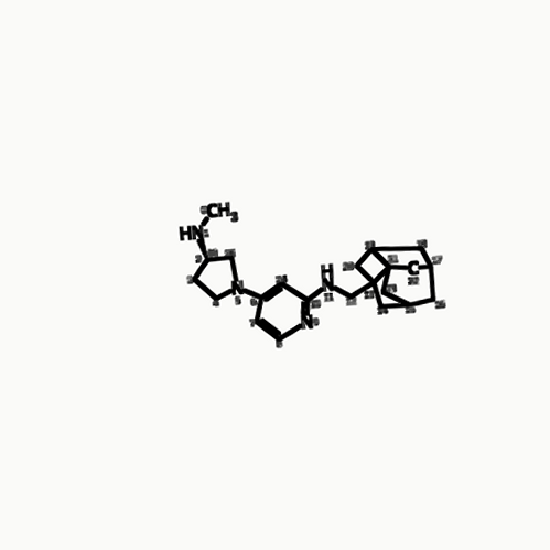 CN[C@@H]1CCN(c2ccnc(NCC34CC5CC6CC(C3)C4(C6)C5)c2)C1